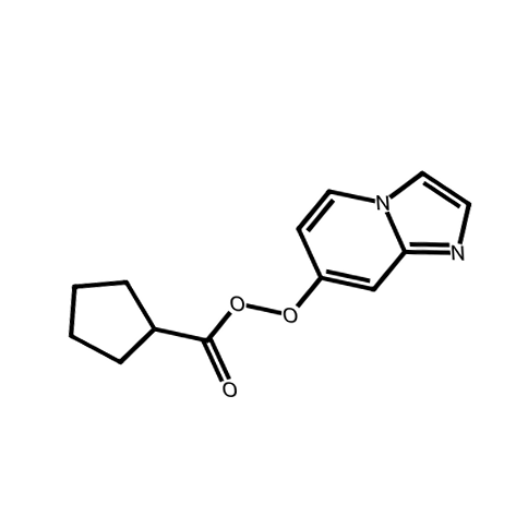 O=C(OOc1ccn2ccnc2c1)C1CCCC1